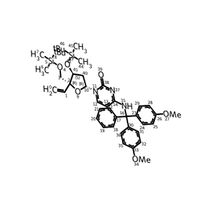 C=C[C@]1(CO[Si](C)(C)C(C)(C)C)O[C@@H](n2ccc(NC(c3ccccc3)(c3ccc(OC)cc3)c3ccc(OC)cc3)nc2=O)C[C@@H]1O[Si](C)(C)C(C)(C)C